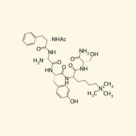 CC(=O)N[C@@H](Cc1ccccc1)C(=O)N[C@@H](N)C(=O)N[C@@H](Cc1ccc(O)cc1)C(=O)NC(CCCC[N+](C)(C)C)C(=O)N[C@@H](CO)C(N)=O